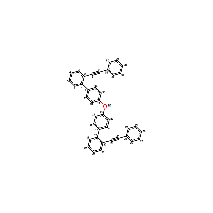 C(#Cc1ccccc1-c1ccc(Oc2ccc(-c3ccccc3C#Cc3ccccc3)cc2)cc1)c1ccccc1